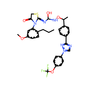 CCCc1ccc(OC)cc1N1C(=O)CS/C1=N\C(O)NOC(C)c1ccc(-c2ncn(-c3ccc(OC(F)(F)F)cc3)n2)cc1